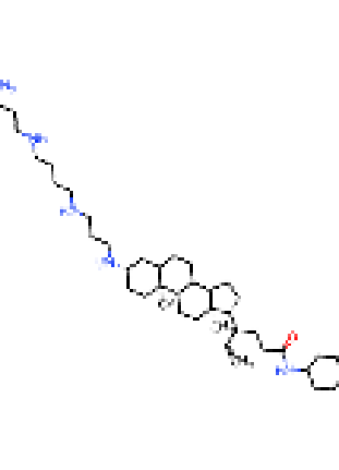 C=C[C@H](CCC(=O)NC1CCCCC1)[C@H]1CCC2C3CCC4C[C@@H](NCCCNCCCCNCCCN)CC[C@]4(C)C3CC[C@@]21C